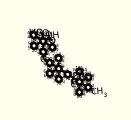 CC[C@](C)(c1ccc(-c2cc(-c3ccccc3)c(-c3ccc(Oc4ccc(-c5c(-c6ccccc6)c(C(=O)O)c(C(=O)O)c(-c6ccccc6)c5-c5ccccc5)cc4)cc3)c(-c3ccccc3)c2-c2ccccc2)cc1)c1cc(-c2ccccc2)c(-c2ccc(C)cc2)c(-c2ccccc2)c1-c1ccccc1